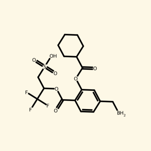 BCc1ccc(C(=O)OC(CS(=O)(=O)O)C(F)(F)F)c(OC(=O)C2CCCCC2)c1